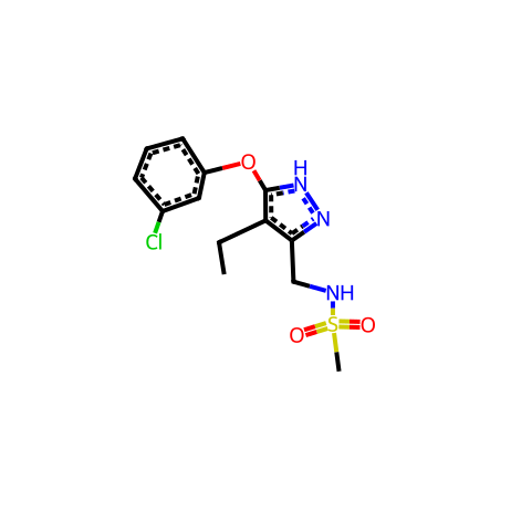 CCc1c(CNS(C)(=O)=O)n[nH]c1Oc1cccc(Cl)c1